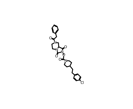 O=C(Cc1ccccc1)N1CCN2C(=O)N(OC(=O)N3CCC(CCc4ccc(Cl)cc4)CC3)C(=O)C2C1